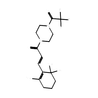 CC1=C(C=CC(=O)N2CCN(C(=O)C(F)(F)F)CC2)C(C)(C)CCC1